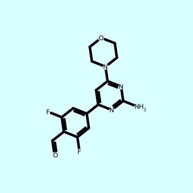 Nc1nc(-c2cc(F)c(C=O)c(F)c2)cc(N2CCOCC2)n1